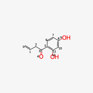 C=CCC(=O)c1ccc(O)cc1O